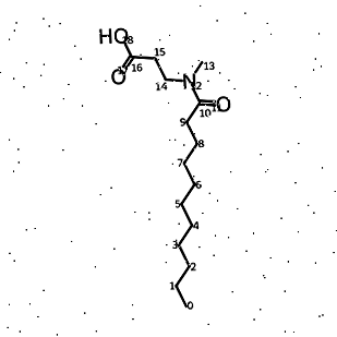 CCCCCCCCCCC(=O)N(C)CCC(=O)O